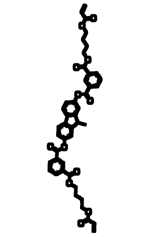 C=CC(=O)OCCCCOC(=O)c1cccc(C(=O)Oc2ccc3c(c2)C(C)c2cc(OC(=O)c4cccc(C(=O)OCCCCOC(=O)C=C)c4)ccc2-3)c1